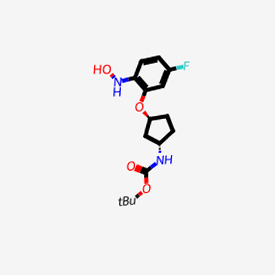 CC(C)(C)OC(=O)N[C@H]1CC[C@H](Oc2cc(F)ccc2NO)C1